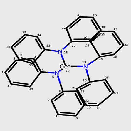 [Cl-].c1ccc([N](c2ccccc2)[Ge+]([N](c2ccccc2)c2ccccc2)[N](c2ccccc2)c2ccccc2)cc1